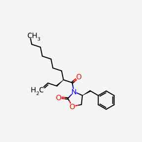 C=CC[C@@H](CCCCCCC)C(=O)N1C(=O)OC[C@@H]1Cc1ccccc1